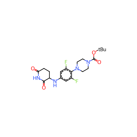 CC(C)(C)OC(=O)N1CCN(c2c(F)cc(NC3CCC(=O)NC3=O)cc2F)CC1